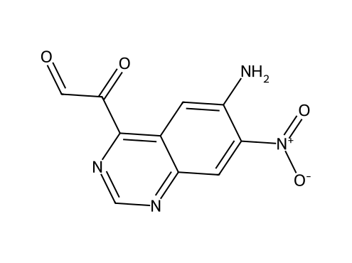 Nc1cc2c(C(=O)C=O)ncnc2cc1[N+](=O)[O-]